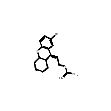 N=C(N)SC/C=C1/c2cc(Br)ccc2OC2CCCCC12